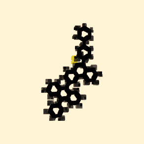 c1ccc(-c2ccc3c(c2)sc2c4ccc(-c5c6ccccc6c(-c6ccccc6)c6ccccc56)cc4c4ccccc4c32)cc1